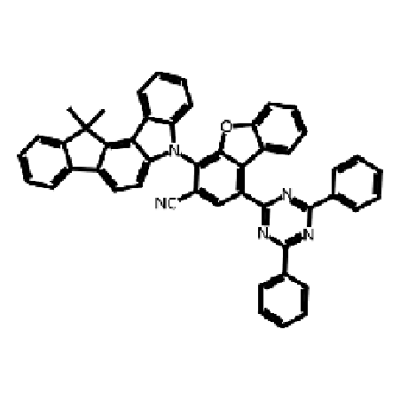 CC1(C)c2ccccc2-c2ccc3c(c21)c1ccccc1n3-c1c(C#N)cc(-c2nc(-c3ccccc3)nc(-c3ccccc3)n2)c2c1oc1ccccc12